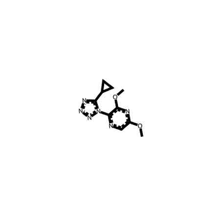 COc1cnc(-n2nnnc2C2CC2)c(OC)n1